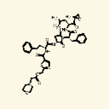 CC(C)C[C@H](NC(=O)[C@H](Cc1ccccc1)N1C(=O)[C@@H](NC(=O)[C@H](CCc2ccccc2)NC(=O)c2cnc(COC(=O)CN3CCOCC3)s2)CC1C)C(=O)C1(C)CO1